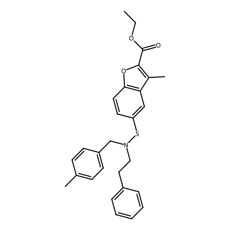 CCOC(=O)c1oc2ccc(SN(CCc3ccccc3)Cc3ccc(C)cc3)cc2c1C